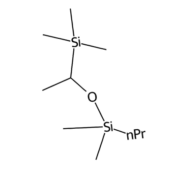 CCC[Si](C)(C)OC(C)[Si](C)(C)C